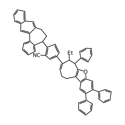 CCC1/C(c2ccc(C3CCc4cc5ccccc5cc4-c4ccccc43)c(C#N)c2)=C\CCc2c(oc3cc(-c4ccccc4)c(-c4ccccc4)cc23)C1c1ccccc1